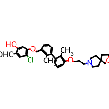 Cc1c(COc2cc(O)c(C=O)cc2Cl)cccc1-c1cccc(OCCCN2CCC3(CCOC3)CC2)c1C